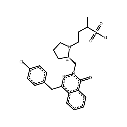 CCS(=O)(=O)C(C)CCN1CCC[C@@H]1Cn1nc(Cc2ccc(Cl)cc2)c2ccccc2c1=O